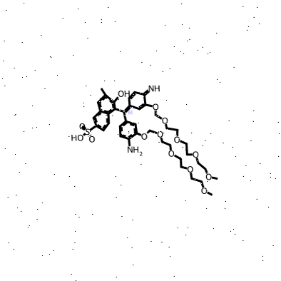 COCCOCCOCCOCOC1=C/C(=C(\c2ccc(N)c(OCOCCOCCOCCOC)c2)c2c(O)c(C)cc3cc(S(=O)(=O)O)ccc23)C=CC1=N